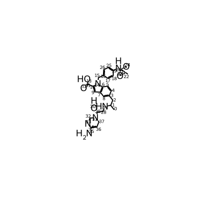 CC(Cc1ccc2c(c1)cc(C(=O)O)n2Cc1ccc(NS(C)(=O)=O)cc1)NCC(O)N1C=NC(N)=CC1